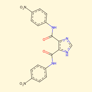 O=C(Nc1ccc([N+](=O)[O-])cc1)c1nc[nH]c1C(=O)Nc1ccc([N+](=O)[O-])cc1